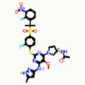 COc1c(Nc2cc(C)[nH]n2)nc(Sc2ccc(S(=O)(=O)C(C)(C)c3cccc([N+](=O)[O-])c3F)cc2F)nc1N1CC[C@H](NC(C)=O)C1